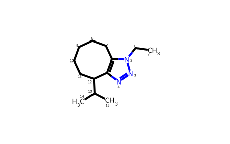 CCn1nnc2c1CCCCCC2C(C)C